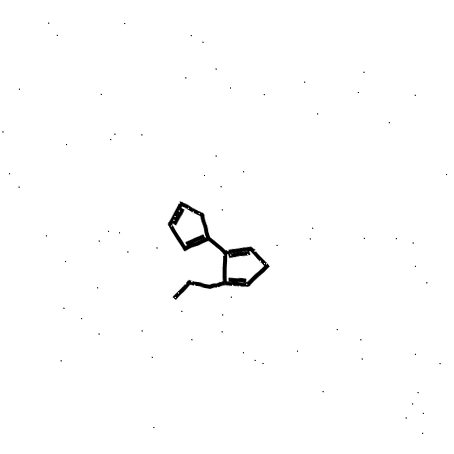 CCCC1=CC[C]=C1C1=CC=CC1